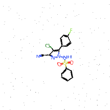 N#Cc1nn(NS(=O)(=O)c2ccccc2)c(-c2ccc(F)cc2)c1Cl